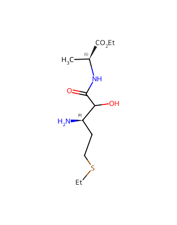 CCOC(=O)[C@H](C)NC(=O)C(O)[C@H](N)CCSCC